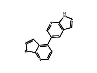 [c]1c(-c2ccnc3[nH]ccc23)cnc2[nH]ncc12